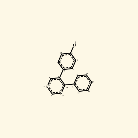 Clc1ccc(-c2cn[c]nc2-c2ccccc2)cc1